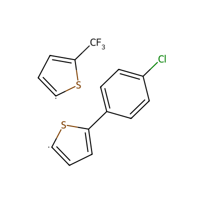 Clc1ccc(-c2cc[c]s2)cc1.FC(F)(F)c1cc[c]s1